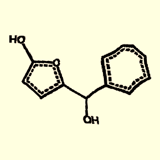 Oc1ccc(C(O)c2ccccc2)o1